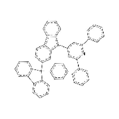 c1ccc(-c2cc(-n3c4ccccc4c4ccc(C5(c6ccccc6)c6ccccc6-c6ccccc65)cc43)nc(-c3ccccc3)n2)cc1